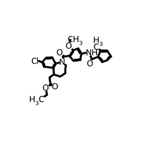 CCOC(=O)CC1CCCN(C(=O)c2ccc(NC(=O)c3ccccc3C)cc2OC)c2ccc(Cl)cc21